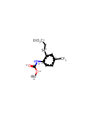 CCOC(=O)C[Se]c1cc(C(F)(F)F)ccc1NC(=O)OC(C)(C)C